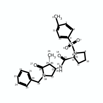 Cc1ccc(S(=O)(=O)N2CCC[C@H]2C(=O)N[C@@H]2CN(Cc3ccccc3)C(=O)[C@@H]2C)cc1